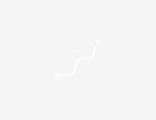 CCCCCCl.[Ir]